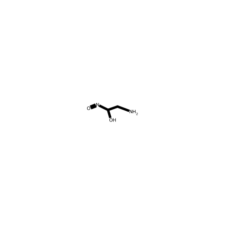 NCC(O)N=O